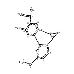 COc1ccc2c(c1)-c1cc(=O)c(C(=O)O)cn1C1OC21